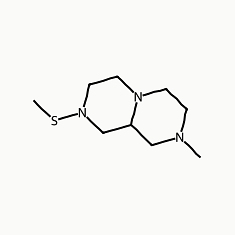 CSN1CCN2CCN(C)CC2C1